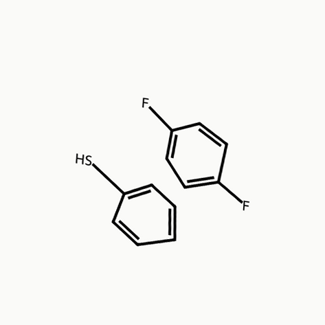 Fc1ccc(F)cc1.Sc1ccccc1